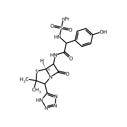 CCCS(=O)(=O)NC(C(=O)NC1C(=O)N2C(c3nnn[nH]3)C(C)(C)S[C@@H]12)c1ccc(O)cc1